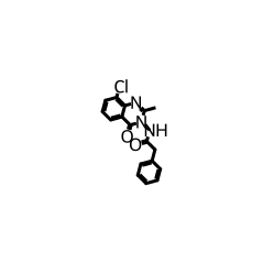 Cc1nc2c(Cl)cccc2c(=O)n1NC(=O)Cc1ccccc1